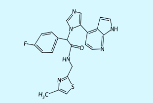 Cc1csc(CNC(=O)C(c2ccc(F)cc2)n2cncc2-c2ccnc3[nH]ccc23)n1